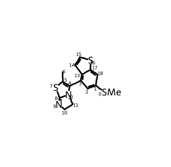 CSc1cc(C2=C(C)SC3=NCCN32)c2ccsc2c1